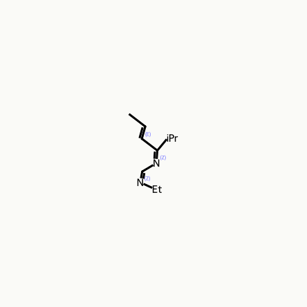 C/C=C/C(=N\C=N/CC)C(C)C